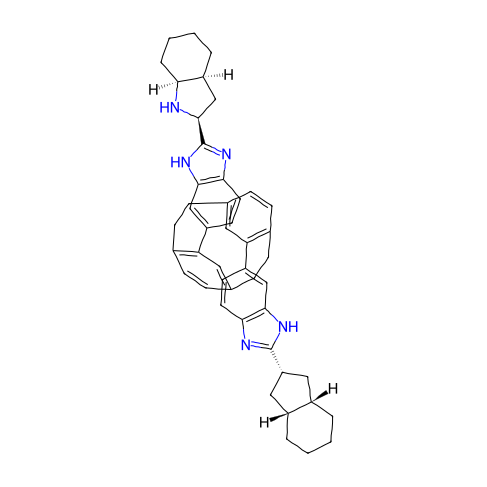 c1cc2c(-c3ccc4nc([C@H]5C[C@H]6CCCC[C@H]6C5)[nH]c4c3)cc1CCc1ccc(cc1-c1ccc3nc([C@@H]4C[C@@H]5CCCC[C@@H]5N4)[nH]c3c1)CC2